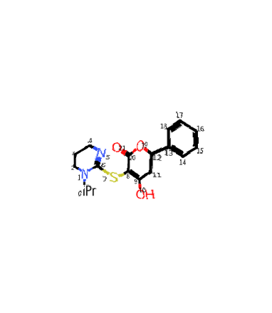 CC(C)N1CCCN=C1SC1=C(O)CC(c2ccccc2)OC1=O